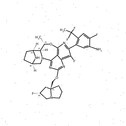 C[C@@H]1Oc2nc(-c3cc(N)c(F)cc3C(C)(F)F)c(F)c3nc(OC[C@@]45CCCN4C[C@H](F)C5)nc(c23)N2C[C@H]3CC[C@H](N3)[C@@H]12